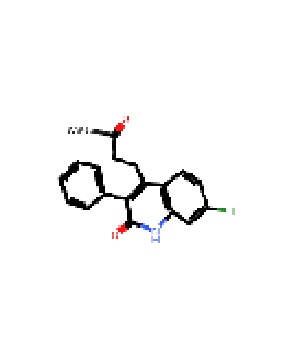 COC(=O)CCc1c(-c2ccccc2)c(=O)[nH]c2cc(Cl)ccc12